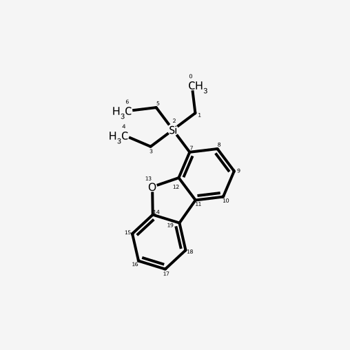 CC[Si](CC)(CC)c1cccc2c1oc1ccccc12